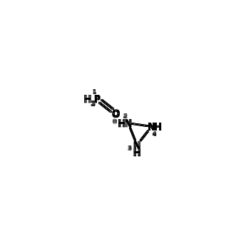 O=[PH3].[nH]1[nH][nH]1